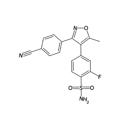 Cc1onc(-c2ccc(C#N)cc2)c1-c1ccc(S(N)(=O)=O)c(F)c1